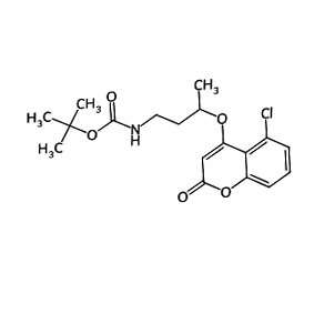 CC(CCNC(=O)OC(C)(C)C)Oc1cc(=O)oc2cccc(Cl)c12